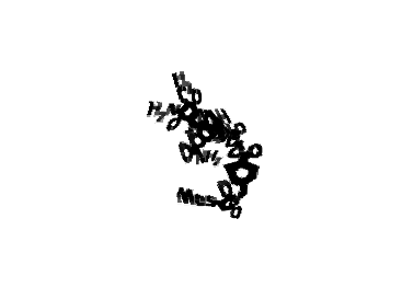 CO[C@@]12[C@H](COC(N)=O)C3=C(C(=O)C(C)=C(N)C3=O)N1C[C@H]1[C@@H]2N1C(=O)OCOC(=O)C1CCC(CN2C(=O)CC(SC)C2=O)CC1